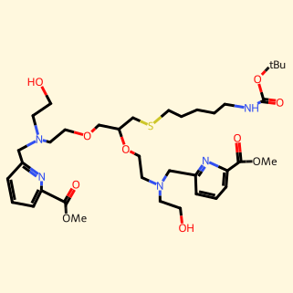 COC(=O)c1cccc(CN(CCO)CCOCC(CSCCCCCNC(=O)OC(C)(C)C)OCCN(CCO)Cc2cccc(C(=O)OC)n2)n1